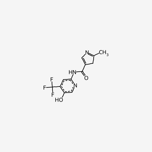 CC1=NC=C(C(=O)Nc2cc(C(F)(F)F)c(O)cn2)C1